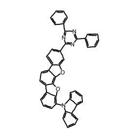 c1ccc(-c2nc(-c3ccccc3)nc(-c3ccc4c(c3)oc3c4ccc4c5cccc(-n6c7ccccc7c7ccccc76)c5oc43)n2)cc1